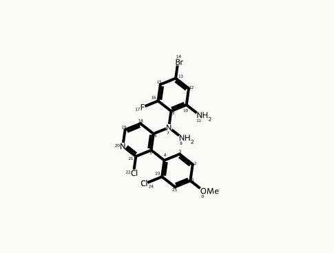 COc1ccc(-c2c(N(N)c3c(N)cc(Br)cc3F)ccnc2Cl)c(Cl)c1